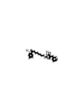 C=C(CCCCCCCSc1ncc(Cc2cccnc2)c(=O)[nH]1)c1ccc(F)cc1